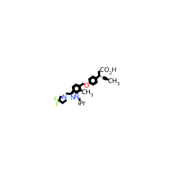 CC#C[C@@H](CC(=O)O)c1ccc(OCc2ccc3c(CN4CCC(F)(F)C4)nn(CC(C)C)c3c2C)cc1